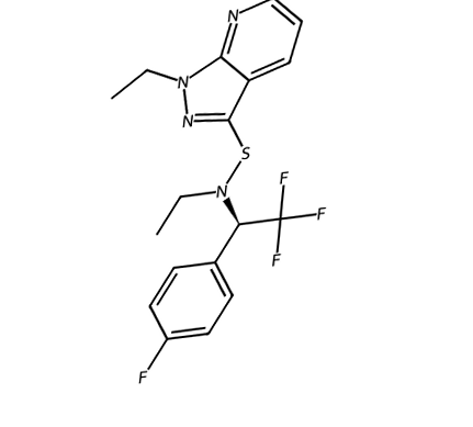 CCN(Sc1nn(CC)c2ncccc12)[C@H](c1ccc(F)cc1)C(F)(F)F